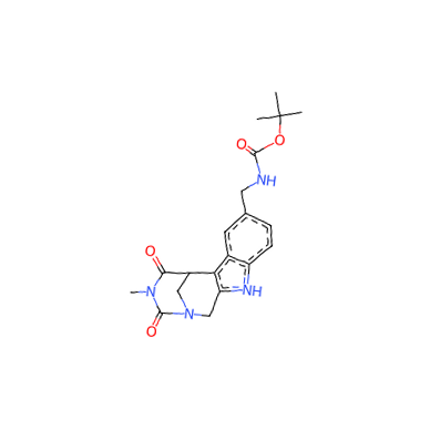 CN1C(=O)C2CN(Cc3[nH]c4ccc(CNC(=O)OC(C)(C)C)cc4c32)C1=O